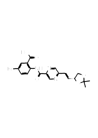 CC1(C)OC[C@H](C=Cc2cnc(C(=O)Nc3ccc(Br)cc3C(=O)O)cn2)O1